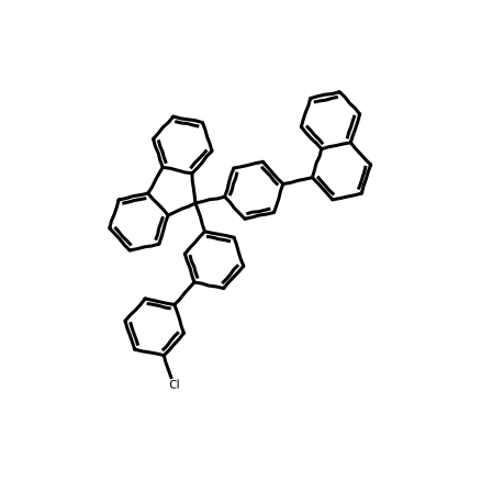 Clc1cccc(-c2cccc(C3(c4ccc(-c5cccc6ccccc56)cc4)c4ccccc4-c4ccccc43)c2)c1